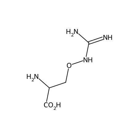 N=C(N)NOCC(N)C(=O)O